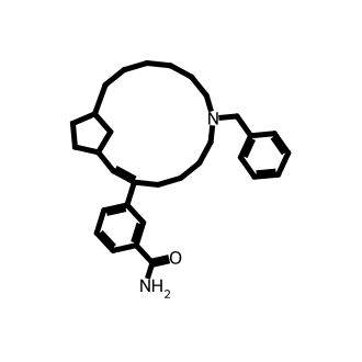 NC(=O)c1cccc(C2=CC3CCC(CCCCCCN(Cc4ccccc4)CCCC2)C3)c1